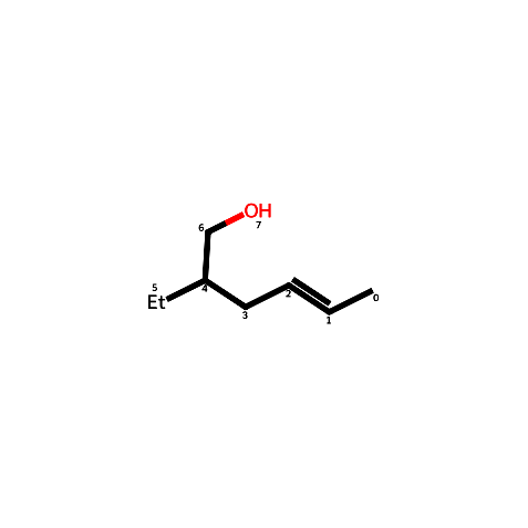 CC=CCC(CC)CO